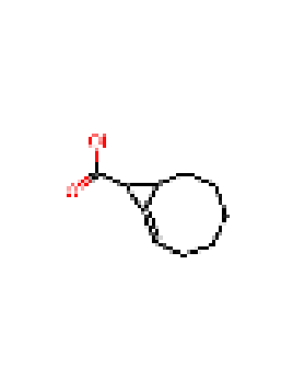 O=C(O)C1C2=CCCCCCC21